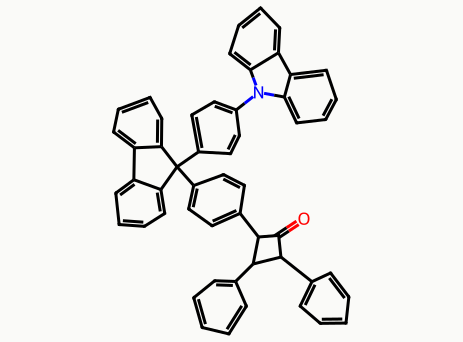 O=C1C(c2ccccc2)C(c2ccccc2)C1c1ccc(C2(c3ccc(-n4c5ccccc5c5ccccc54)cc3)c3ccccc3-c3ccccc32)cc1